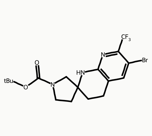 CC(C)(C)OC(=O)N1CCC2(CCc3cc(Br)c(C(F)(F)F)nc3N2)C1